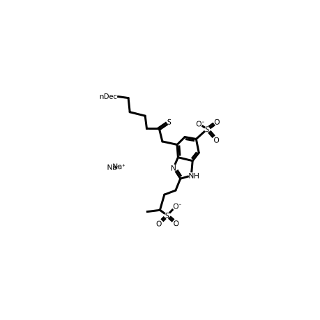 CCCCCCCCCCCCCCC(=S)Cc1cc(S(=O)(=O)[O-])cc2[nH]c(CCC(C)S(=O)(=O)[O-])nc12.[Na+].[Na+]